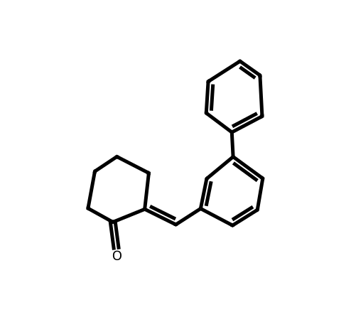 O=C1CCCC/C1=C\c1cccc(-c2ccccc2)c1